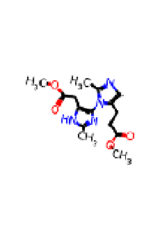 COC(=O)CCc1[c]nc(C)n1-c1nc(C)[nH]c1CC(=O)OC